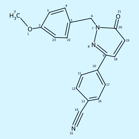 COc1ccc(Cn2nc(-c3ccc(C#N)cc3)ccc2=O)cc1